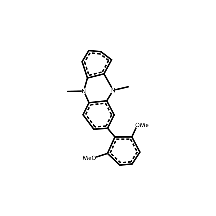 COc1cccc(OC)c1-c1ccc2c(c1)N(C)c1ccccc1N2C